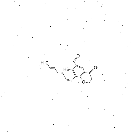 C/C=C/C=C/C=C\c1c(S)c(C=O)cc2c1OCCC2=O